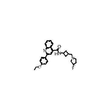 CCOc1ccc(-c2cc(C(=O)NC3CC(CN4CC[C@@H](F)C4)C3)c3ccccc3n2)cc1